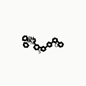 CC1(N(C2=NC(c3ccc4sc5ccc(-c6ccc(-c7cccc8c7oc7ccccc78)cc6)cc5c4c3)=CCN2)c2ccccc2)C=CC=CC1